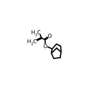 C=C(C)C(=O)OC1CCC2CCC1C2